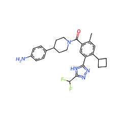 Cc1cc(C2CCC2)c(-c2nnc(C(F)F)[nH]2)cc1C(=O)N1CCC(c2ccc(N)cc2)CC1